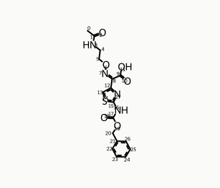 CC(=O)NCCON=C(C(=O)O)c1csc(NC(=O)OCc2ccccc2)n1